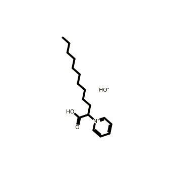 CCCCCCCCCCC(C(=O)O)[n+]1ccccc1.[OH-]